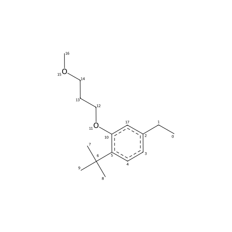 CCc1ccc(C(C)(C)C)c(OCCCOC)c1